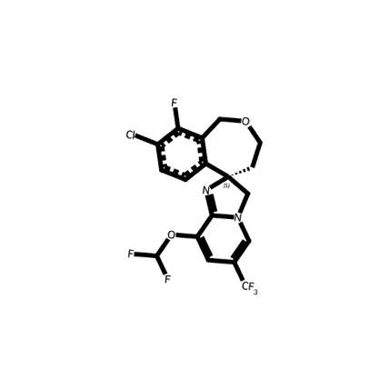 Fc1c(Cl)ccc2c1COCC[C@@]21CN2C=C(C(F)(F)F)C=C(OC(F)F)C2=N1